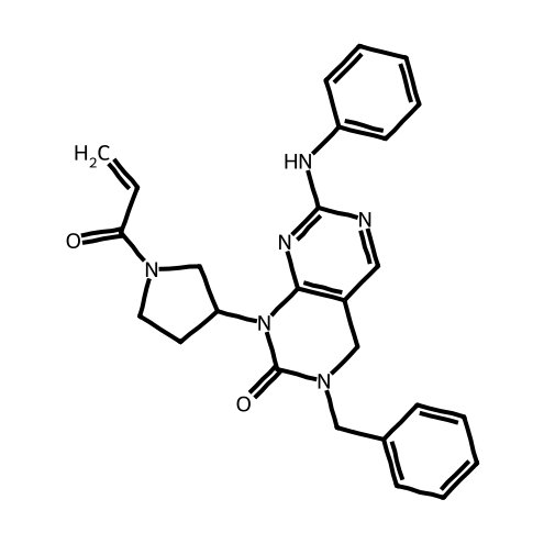 C=CC(=O)N1CCC(N2C(=O)N(Cc3ccccc3)Cc3cnc(Nc4ccccc4)nc32)C1